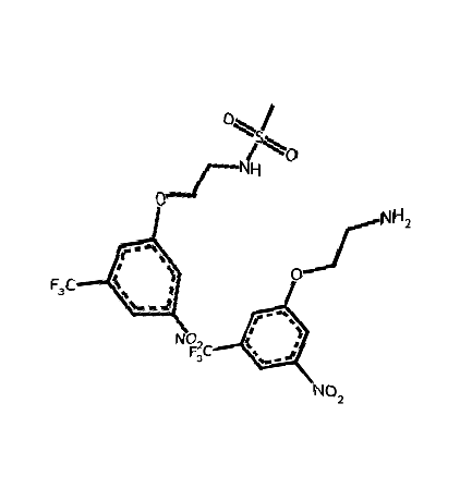 CS(=O)(=O)NCCOc1cc([N+](=O)[O-])cc(C(F)(F)F)c1.NCCOc1cc([N+](=O)[O-])cc(C(F)(F)F)c1